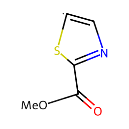 COC(=O)c1nc[c]s1